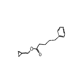 O=C(CCCCc1ccccc1)OCC1CC1